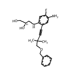 CC(C)(C#Cc1cc(N)c(F)cc1NC[C@@H](O)CO)COCc1ccccc1